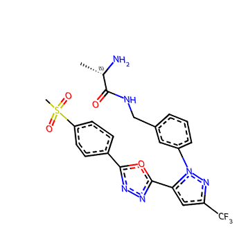 C[C@H](N)C(=O)NCc1cccc(-n2nc(C(F)(F)F)cc2-c2nnc(-c3ccc(S(C)(=O)=O)cc3)o2)c1